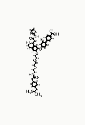 CC(C)Cc1ccc(CC(=O)NCCOCCOCCOc2cc3c(cc2Oc2ccc(-c4ccc(C(=O)O)cc4)c(F)c2)C(CC(=O)Nc2nccs2)NCC3)cc1